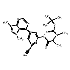 C#Cc1cc(-c2ncnc3c(C)nn(C)c23)cc(NC(=O)C(C)N(C)C(=O)OC(C)(C)C)n1